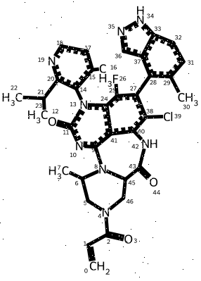 C=CC(=O)N1CC(C)N2c3nc(=O)n(-c4c(C)ccnc4C(C)C)c4c(F)c(-c5c(C)ccc6[nH]ncc56)c(Cl)c(c34)NC(=O)C2C1